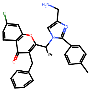 Cc1ccc(-c2nc(CN)cn2C(c2oc3cc(Cl)ccc3c(=O)c2Cc2ccccc2)C(C)C)cc1